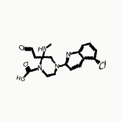 CNC1(CC=O)CN(c2ccc3c(Cl)cccc3n2)CCN1C(=O)O